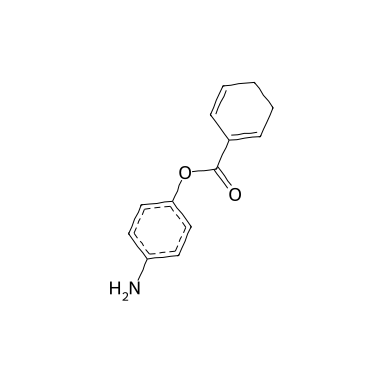 Nc1ccc(OC(=O)C2=CCCC=C2)cc1